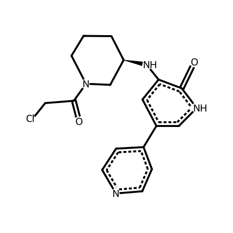 O=C(CCl)N1CCC[C@@H](Nc2cc(-c3ccncc3)c[nH]c2=O)C1